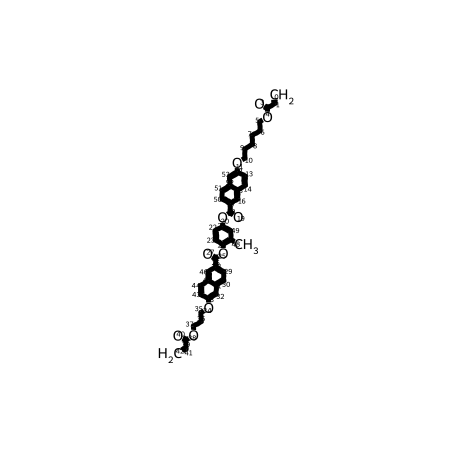 C=CC(=O)OCCCCCCOc1ccc2cc(C(=O)Oc3ccc(OC(=O)c4ccc5cc(OCCCOC(=O)C=C)ccc5c4)c(C)c3)ccc2c1